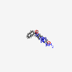 NC(=O)c1cnc(N2CC3CN(C(=O)c4ccc5ccccc5c4)CC3C2)nc1